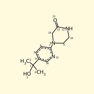 CC(C)(O)c1ccc(N2CCNC(=O)C2)nc1